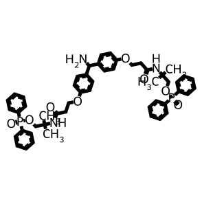 CC(C)(COP(=O)(c1ccccc1)c1ccccc1)NC(=O)CCOc1ccc(C(N)c2ccc(OCCC(=O)NC(C)(C)COP(=O)(c3ccccc3)c3ccccc3)cc2)cc1